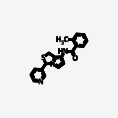 Cc1ccccc1C(=O)Nc1ccn2c1CSC2c1cccnc1